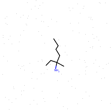 [CH2]C(N)(CC)CCCC